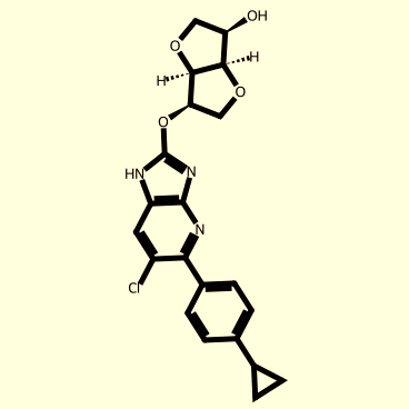 O[C@@H]1CO[C@H]2[C@@H]1OC[C@H]2Oc1nc2nc(-c3ccc(C4CC4)cc3)c(Cl)cc2[nH]1